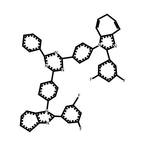 Fc1cc(F)cc(-c2nc3c(n2-c2ccc(-c4nc(-c5ccccc5)nc(-c5ccc(-n6c(-c7cc(F)cc(F)c7)nc7ccccc76)cc5)n4)cc2)C=CCC=C3)c1